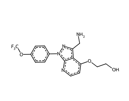 NCc1nn(-c2ccc(OC(F)(F)F)cc2)c2nccc(OCCO)c12